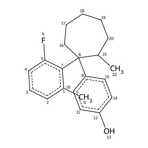 Cc1cccc(F)c1C1(c2ccc(O)cc2)CCCCCC1C